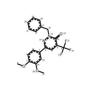 COc1ccc(-c2cc(C(F)(F)F)c(=O)n(Cc3ccccc3)n2)cc1OC